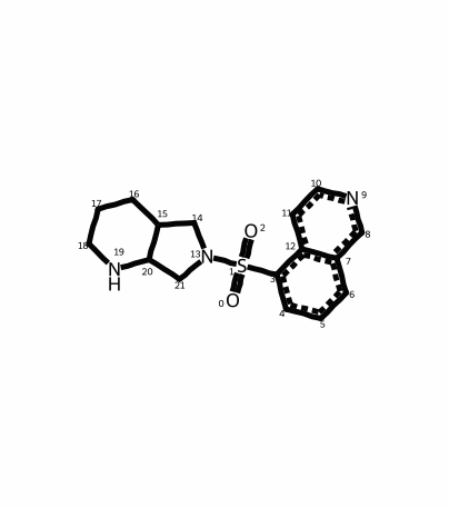 O=S(=O)(c1cccc2cnccc12)N1CC2CCCNC2C1